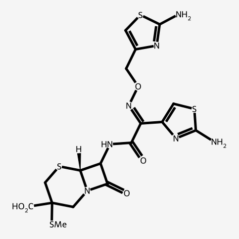 CSC1(C(=O)O)CS[C@@H]2C(NC(=O)C(=NOCc3csc(N)n3)c3csc(N)n3)C(=O)N2C1